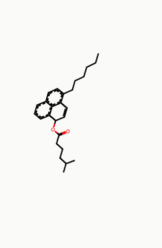 CCCCCCc1ccc2cccc3c2c1C=CC3OC(=O)CCCC(C)C